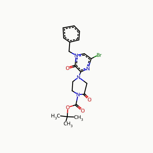 CC(C)(C)OC(=O)N1CCN(c2nc(Br)cn(Cc3ccccc3)c2=O)CC1=O